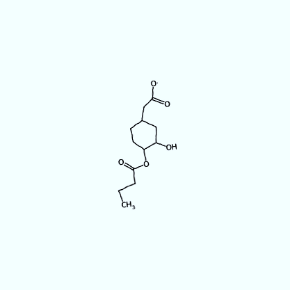 CCCC(=O)OC1CCC(CC([O])=O)CC1O